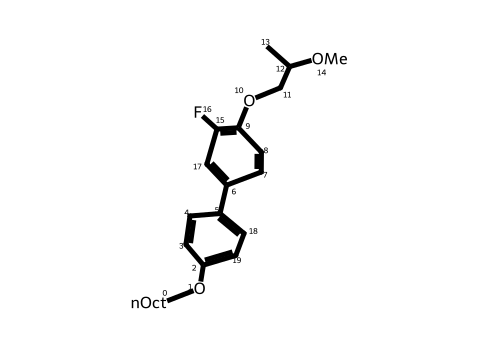 CCCCCCCCOc1ccc(-c2ccc(OCC(C)OC)c(F)c2)cc1